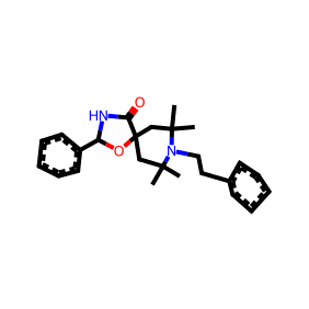 CC1(C)CC2(CC(C)(C)N1CCc1ccccc1)OC(c1ccccc1)NC2=O